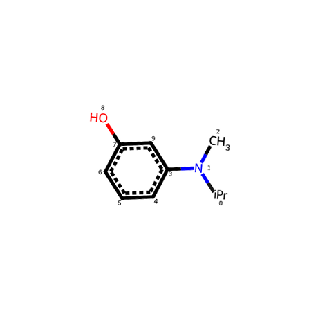 CC(C)N(C)c1cccc(O)c1